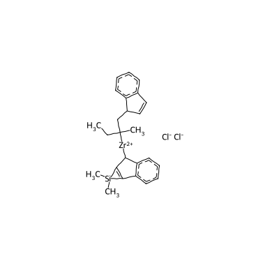 CC[C](C)(CC1C=Cc2ccccc21)[Zr+2][CH]1C2=C(c3ccccc31)[Si]2(C)C.[Cl-].[Cl-]